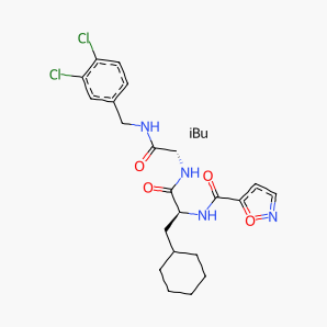 CC[C@H](C)[C@H](NC(=O)[C@H](CC1CCCCC1)NC(=O)c1ccno1)C(=O)NCc1ccc(Cl)c(Cl)c1